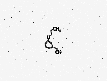 [CH]=Cc1cccc(OCCC)c1